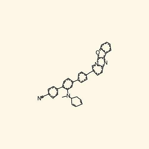 CN(c1cc(-c2ccc(-c3ccc4nc5c6ccccc6oc5n4c3)cc2)ccc1-c1ccc(C#N)cc1)C1C=CC=CC1